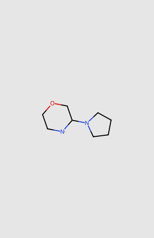 C1CCN(C2COCC[N]2)C1